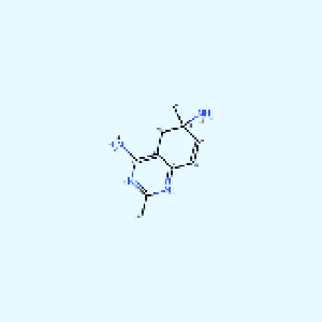 Cc1nc(N)c2c(n1)C=CC(C)(N)C2